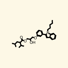 CCCCCn1c(-c2cccc(OCC(O)COC(=O)C(CC(C)C)C(C)C)c2)cc2ccccc21